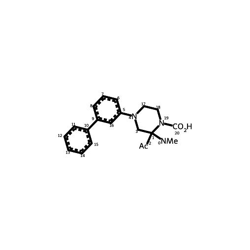 CNC1(C(C)=O)CN(c2cccc(-c3ccccc3)c2)CCN1C(=O)O